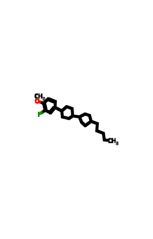 CCCCCC1CCC(C2CCC(c3ccc(OC)c(F)c3)CC2)CC1